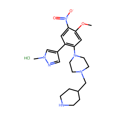 COc1cc(N2CCN(CC3CCNCC3)CC2)c(-c2cnn(C)c2)cc1[N+](=O)[O-].Cl